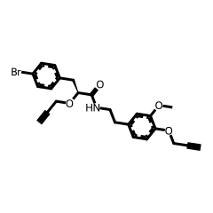 C#CCOc1ccc(CCNC(=O)[C@H](Cc2ccc(Br)cc2)OCC#C)cc1OC